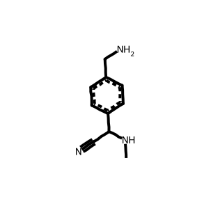 CNC(C#N)c1ccc(CN)cc1